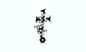 C=C(C)COC[C@@H](O)[C@H](OCC(=C)C)[C@H](COCC(NC(=O)OCc1ccccc1)C(=O)O)OCC(=C)C